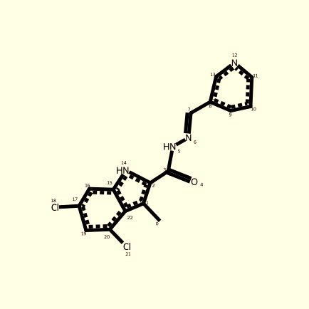 Cc1c(C(=O)NN=Cc2cccnc2)[nH]c2cc(Cl)cc(Cl)c12